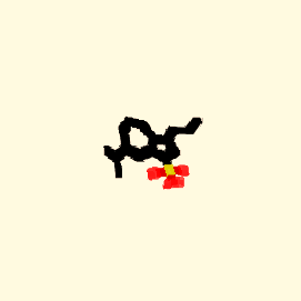 CCCc1cc(S(=O)(=O)O)c2cc(C(C)C)cccc1-2